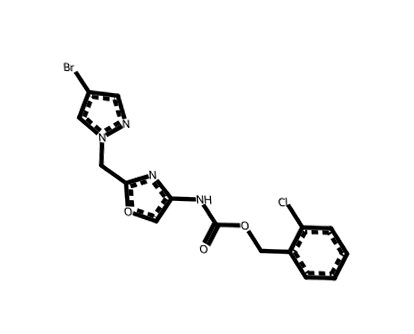 O=C(Nc1coc(Cn2cc(Br)cn2)n1)OCc1ccccc1Cl